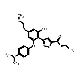 CCOC(=O)c1cc(-c2c(O)cc(OCOC)cc2Oc2ccc(N(C)C)cc2)no1